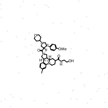 COc1ccc([C@@H]2CN(C3CCOCC3)C[C@@]2(F)C(=O)N2CC3[C@H](C2)c2ccc(F)cc2N2CCC(C(=O)NCCO)C[C@@H]32)cc1